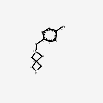 CC(C)c1ccc(CN2CC3(COC3)C2)cc1